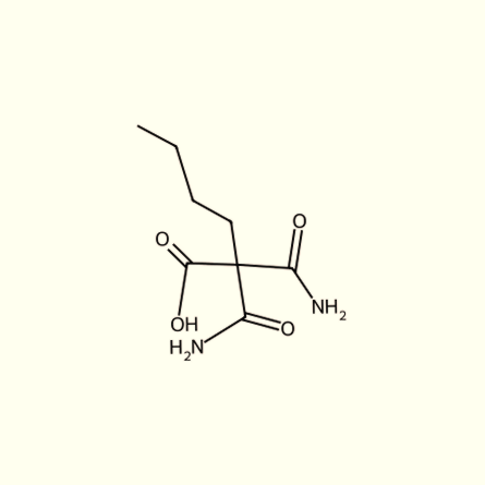 CCCCC(C(N)=O)(C(N)=O)C(=O)O